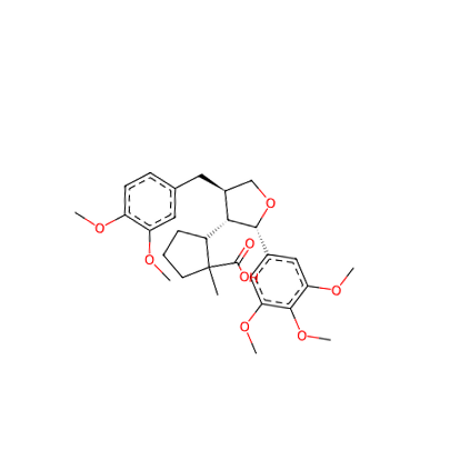 COc1ccc(C[C@H]2CO[C@H](c3cc(OC)c(OC)c(OC)c3)[C@@H]2C2CCCC2(C)C(=O)O)cc1OC